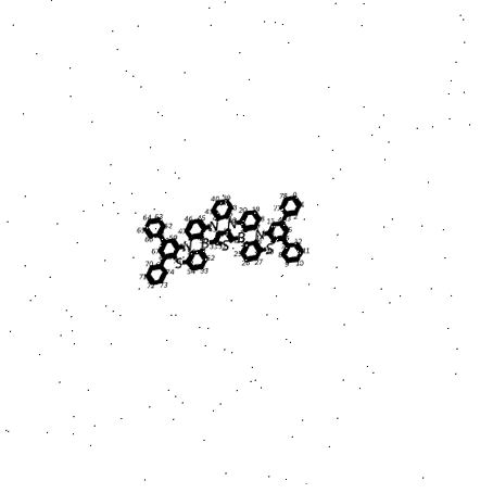 c1ccc(-c2cc(-c3ccccc3)c3c(c2)N2c4cccc5c4B(c4cccc(c42)S3)c2sc3c4c2N5c2ccccc2N4c2cccc4c2B3c2cccc3c2N4c2cc(-c4ccccc4)cc(-c4ccccc4)c2S3)cc1